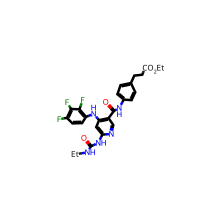 CCNC(=O)Nc1cc(Nc2ccc(F)c(F)c2F)c(C(=O)Nc2ccc(CCC(=O)OCC)cc2)cn1